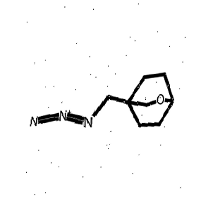 [N-]=[N+]=NCC12CCC(CC1)OC2